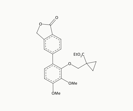 CCOC(=O)C1(COc2c(-c3ccc4c(c3)COC4=O)ccc(OC)c2OC)CC1